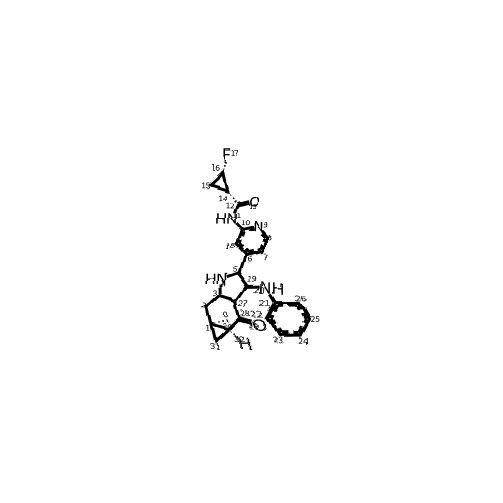 C[C@]12CC3NC(c4ccnc(NC(=O)[C@@H]5C[C@@H]5F)c4)C(Nc4ccccc4)C3C(=O)[C@H]1C2